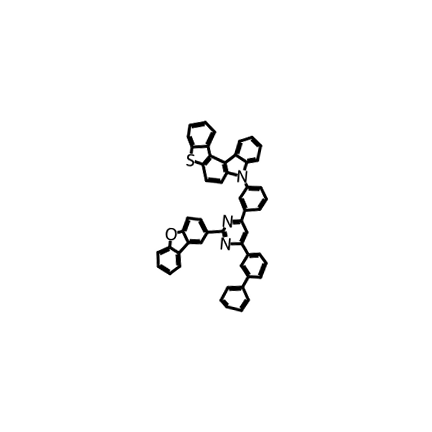 c1ccc(-c2cccc(-c3cc(-c4cccc(-n5c6ccccc6c6c7c(ccc65)sc5ccccc57)c4)nc(-c4ccc5oc6ccccc6c5c4)n3)c2)cc1